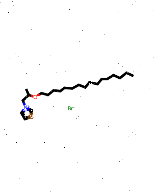 CCCCCCCCCCCCCCCCOC(C)C[n+]1ccsc1.[Br-]